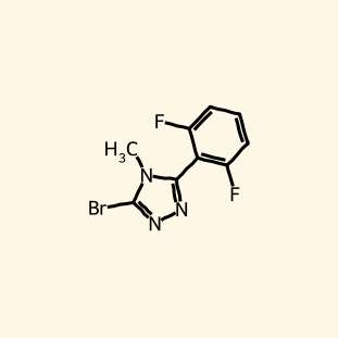 Cn1c(Br)nnc1-c1c(F)cccc1F